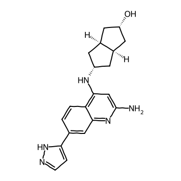 Nc1cc(N[C@@H]2C[C@H]3C[C@H](O)C[C@H]3C2)c2ccc(-c3ccn[nH]3)cc2n1